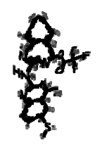 CSc1ccc2nc(Nc3nc(OC(=O)C(F)(F)F)c4ccccc4n3)nc(C)c2c1